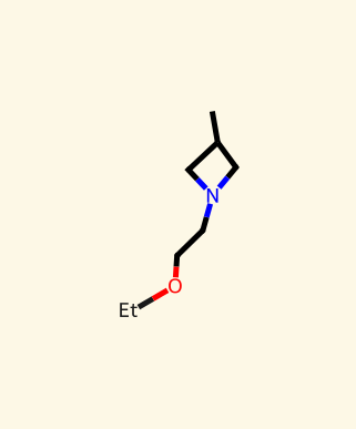 CCOCCN1CC(C)C1